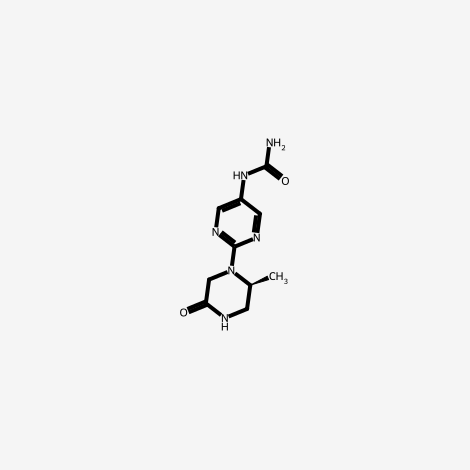 C[C@H]1CNC(=O)CN1c1ncc(NC(N)=O)cn1